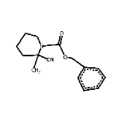 CC1(C#N)CCCCN1C(=O)OCc1ccccc1